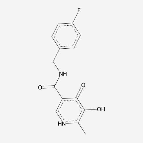 Cc1[nH]cc(C(=O)NCc2ccc(F)cc2)c(=O)c1O